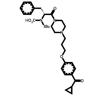 CC(C)(C)N(C(=O)O)[C@H](Cc1ccccc1)C(=O)N1CCN(CCCOc2ccc(C(=O)C3CC3)cc2)CC1